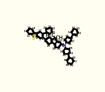 CC1(C)c2cc(-c3cc4sc5ccccc5c4cc3-c3ccccc3)ccc2-c2ccc(N(c3ccc(-c4ccccc4)cc3)c3ccc(-c4ccccc4)cc3)cc21